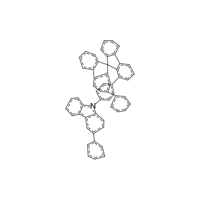 c1ccc(-c2ccc3c(c2)C2(c4ccccc4-3)c3ccccc3-c3cccc(-c4ccc(-n5c6ccccc6c6cc(-c7ccccc7)ccc65)cc4)c32)cc1